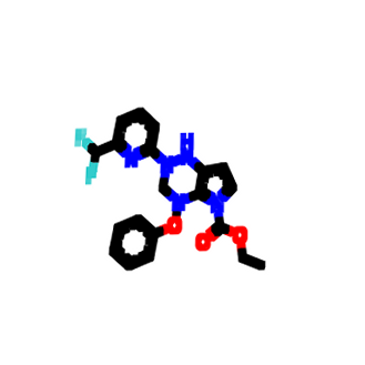 CCOC(=O)n1ccc2c1N(Oc1ccccc1)CN(c1cccc(C(F)F)n1)N2